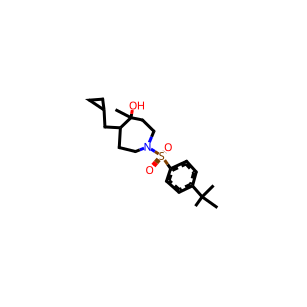 CC(C)(C)c1ccc(S(=O)(=O)N2CCC(CC3CC3)C(C)(O)CC2)cc1